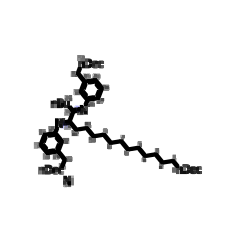 CCCCCCCCCCCCCCCCCCCCCCC(=N\c1cccc(CCCCCCCCCCC)c1)/C(CCCC)=N/c1cccc(CCCCCCCCCCC)c1.[Ni]